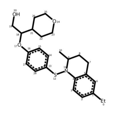 CCc1ccc2c(c1)CCC(C)N2Sc1ccc(OC(CO)C2CCOCC2)cc1